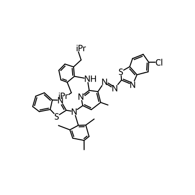 Cc1cc(C)c(N(c2cc(C)c(N=Nc3nc4cc(Cl)ccc4s3)c(Nc3c(CC(C)C)cccc3CC(C)C)n2)c2nc3ccccc3s2)c(C)c1